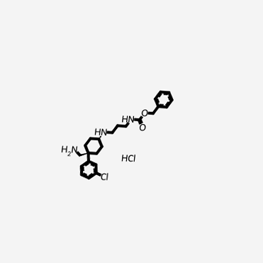 Cl.NC[C@]1(c2cccc(Cl)c2)CC[C@@H](NCCCNC(=O)OCc2ccccc2)CC1